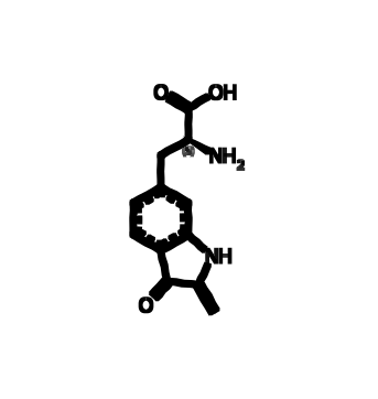 C=C1Nc2cc(C[C@H](N)C(=O)O)ccc2C1=O